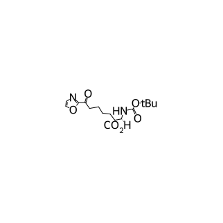 CC(C)(C)OC(=O)N[C@@H](CCCCCC(=O)c1ncco1)C(=O)O